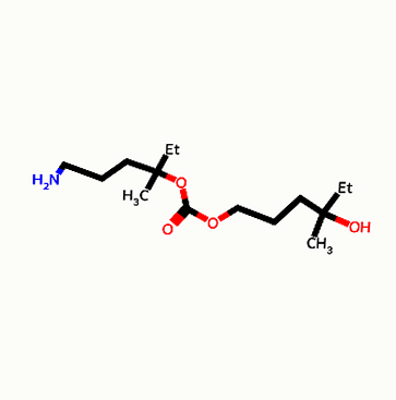 CCC(C)(O)CCCOC(=O)OC(C)(CC)CCCN